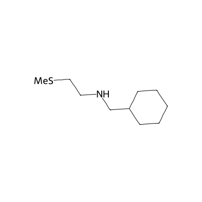 CSCCNCC1CCCCC1